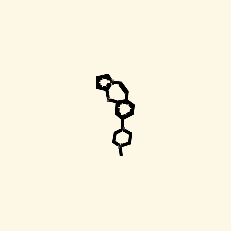 CN1CCN(c2ccc3c(c2)Sc2cccn2C=C3)CC1